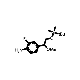 COC(CO[Si](C)(C)C(C)(C)C)c1ccc(N)c(F)c1